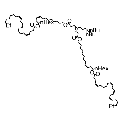 CC/C=C\C/C=C\C/C=C\C/C=C\C/C=C\C/C=C\CCC(=O)OC(C/C=C\CCCCCCCCOC(=O)CCN(CCCN(CCCC)CCCC)CCC(=O)OCCCCCCCC/C=C\CC(CCCCCC)OC(=O)CC/C=C\C/C=C\C/C=C\C/C=C\C/C=C\C/C=C\CC)CCCCCC